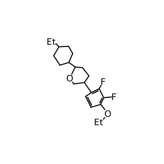 CCOc1ccc(C2CCC(C3CCC(CC)CC3)OC2)c(F)c1F